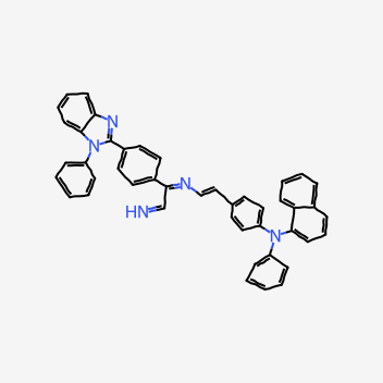 N=C/C(=N\C=C\c1ccc(N(c2ccccc2)c2cccc3ccccc23)cc1)c1ccc(-c2nc3ccccc3n2-c2ccccc2)cc1